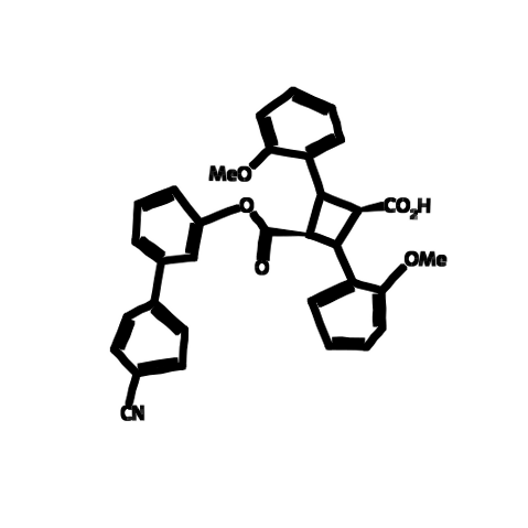 COc1ccccc1C1[C@H](C(=O)O)C(c2ccccc2OC)[C@@H]1C(=O)Oc1cccc(-c2ccc(C#N)cc2)c1